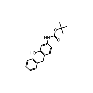 CC(C)(C)OC(=O)Nc1[c]cc(Cc2ccccc2)c(O)c1